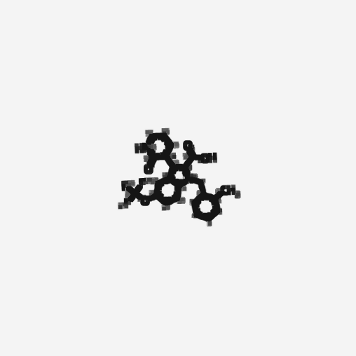 Cc1ccccc1Cn1c(C(=O)O)c(-c2ccc[nH]c2=O)c2cc(OC(F)(F)F)ccc21